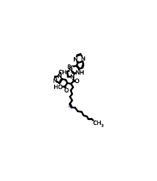 CCCCCCCC/C=C\CCCCCC(C(=O)N1CCN=C1Nc1ccc2nccnc2c1Br)C(Cc1cncn1C)C(=O)O